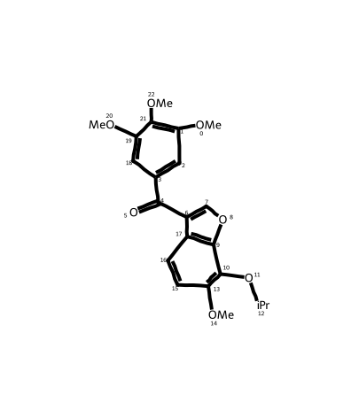 COc1cc(C(=O)c2coc3c(OC(C)C)c(OC)ccc23)cc(OC)c1OC